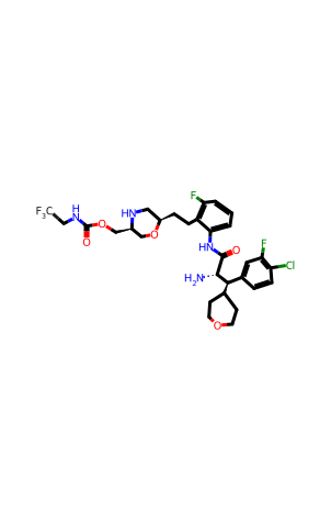 N[C@H](C(=O)Nc1cccc(F)c1CC[C@@H]1CN[C@H](COC(=O)NCC(F)(F)F)CO1)[C@@H](c1ccc(Cl)c(F)c1)C1CCOCC1